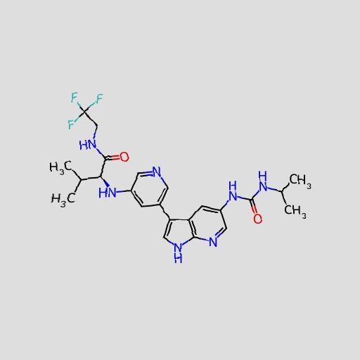 CC(C)NC(=O)Nc1cnc2[nH]cc(-c3cncc(N[C@H](C(=O)NCC(F)(F)F)C(C)C)c3)c2c1